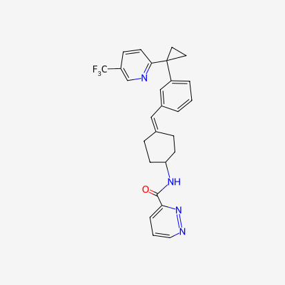 O=C(NC1CCC(=Cc2cccc(C3(c4ccc(C(F)(F)F)cn4)CC3)c2)CC1)c1cccnn1